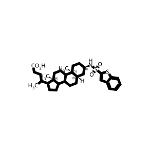 CC(CCC(=O)O)C1CCC2C3CC[C@@H]4C[C@H](NS(=O)(=O)c5cc6ccccc6s5)CC[C@]4(C)C3CC[C@]12C